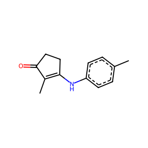 CC1=C(Nc2ccc(C)cc2)CCC1=O